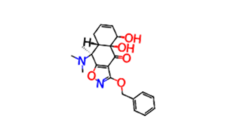 CN(C)[C@]1(C)c2onc(OCc3ccccc3)c2C(=O)[C@@]2(O)[C@H](O)C=CC[C@H]21